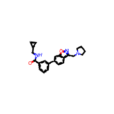 O=C(NCC1CC1)c1cccc(-c2ccc3c(CN4CCCC4)noc3c2)c1